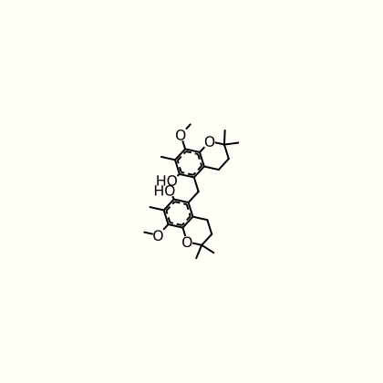 COc1c(C)c(O)c(Cc2c(O)c(C)c(OC)c3c2CCC(C)(C)O3)c2c1OC(C)(C)CC2